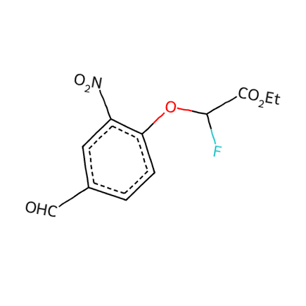 CCOC(=O)C(F)Oc1ccc(C=O)cc1[N+](=O)[O-]